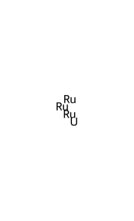 [Ru].[Ru].[Ru].[U]